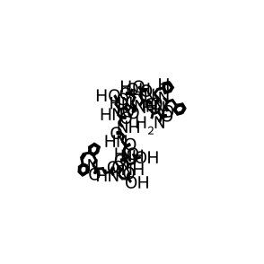 CC(C)C(NC(=O)C(Cc1ccccc1)NC(=O)C(Cc1ccccc1)NC(=O)C(CC(=O)O)NC(=O)C(CC(=O)O)NC(=O)C(CC(=O)O)NC(=O)CNC(=O)CNC(=O)CNC(=O)C(CC(O)O)NC(=O)C(CC(=O)O)NC(=O)CCC(=O)N1Cc2ccccc2C#Cc2ccccc21)C(N)=O